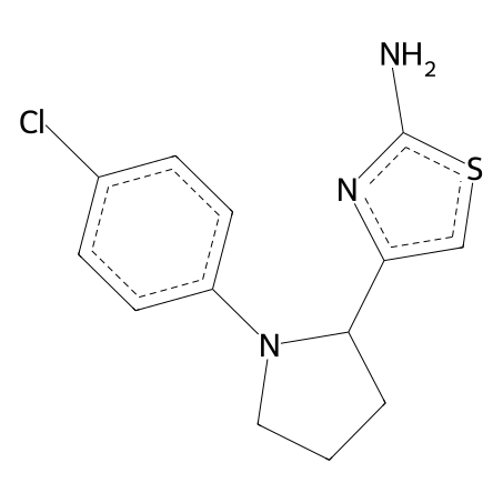 Nc1nc(C2CCCN2c2ccc(Cl)cc2)cs1